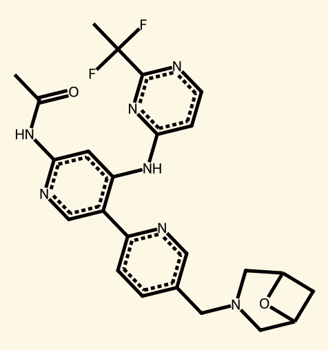 CC(=O)Nc1cc(Nc2ccnc(C(C)(F)F)n2)c(-c2ccc(CN3CC4CC(C3)O4)cn2)cn1